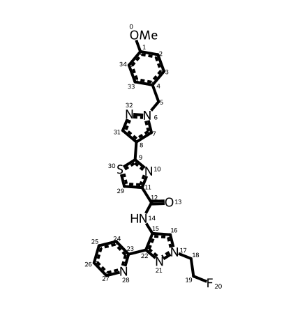 COc1ccc(Cn2cc(-c3nc(C(=O)Nc4cn(CCF)nc4-c4ccccn4)cs3)cn2)cc1